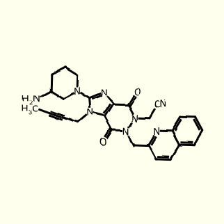 CC#CCn1c(N2CCCC(N)C2)nc2c(=O)n(CC#N)n(Cc3ccc4ccccc4n3)c(=O)c21